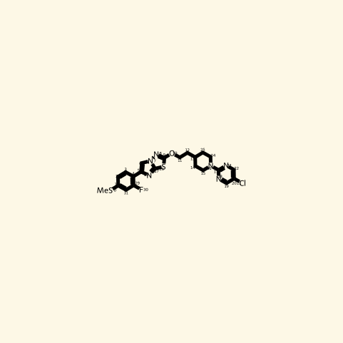 CSc1ccc(-c2cn3nc(OCCC4CCN(c5ncc(Cl)cn5)CC4)sc3n2)c(F)c1